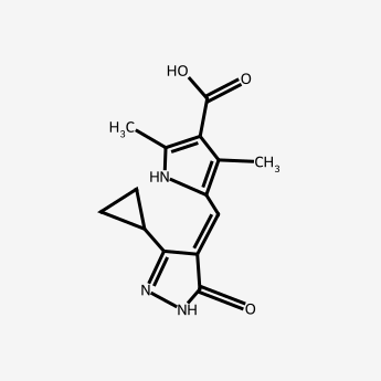 Cc1[nH]c(C=C2C(=O)NN=C2C2CC2)c(C)c1C(=O)O